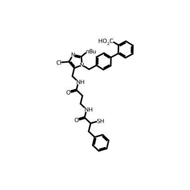 CCCCc1nc(Cl)c(CNC(=O)CCNC(=O)C(S)Cc2ccccc2)n1Cc1ccc(-c2ccccc2C(=O)O)cc1